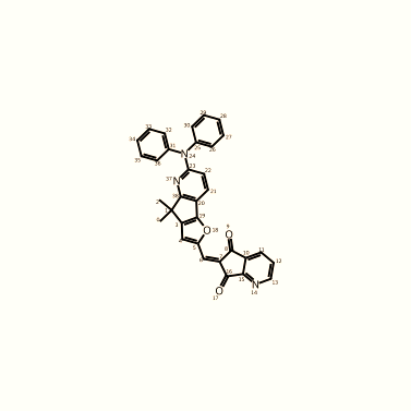 CC1(C)c2cc(/C=C3\C(=O)c4cccnc4C3=O)oc2-c2ccc(N(c3ccccc3)c3ccccc3)nc21